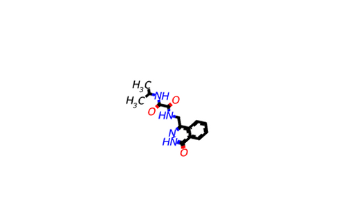 CC(C)NC(=O)C(=O)NCc1n[nH]c(=O)c2ccccc12